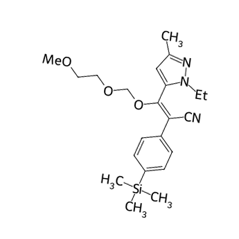 CCn1nc(C)cc1C(OCOCCOC)=C(C#N)c1ccc([Si](C)(C)C)cc1